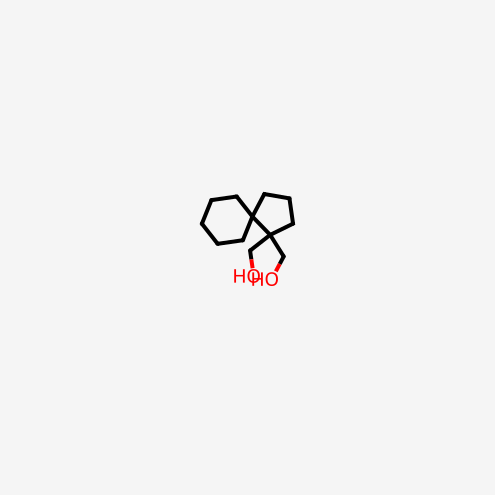 OCC1(CO)CCCC12CCCCC2